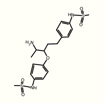 CC(N)C(CCc1ccc(NS(C)(=O)=O)cc1)Oc1ccc(NS(C)(=O)=O)cc1